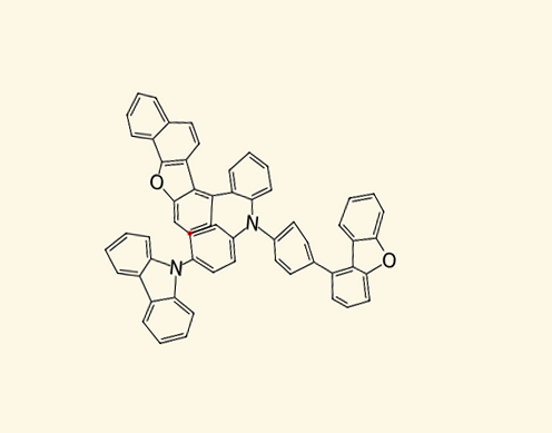 c1ccc(N(c2ccc(-c3cccc4oc5ccccc5c34)cc2)c2ccc(-n3c4ccccc4c4ccccc43)cc2)c(-c2cccc3oc4c5ccccc5ccc4c23)c1